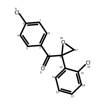 O=C(c1ccc(Cl)cc1)C1(c2ccccc2Cl)CO1